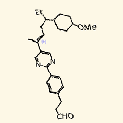 CCC(C/C=C(\C)c1cnc(-c2ccc(CCC=O)cc2)nc1)C1CCC(OC)CC1